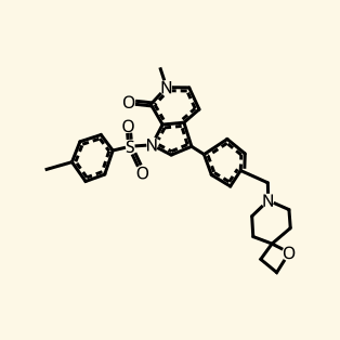 Cc1ccc(S(=O)(=O)n2cc(-c3ccc(CN4CCC5(CCO5)CC4)cc3)c3ccn(C)c(=O)c32)cc1